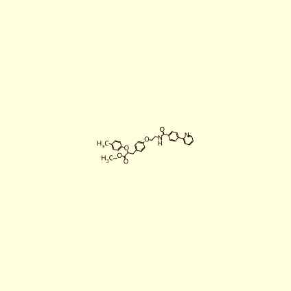 CCOC(=O)C(Cc1ccc(OCCNC(=O)c2ccc(-c3ccccn3)cc2)cc1)Oc1ccc(C)cc1